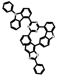 c1ccc(-c2nc(-c3cccc4oc5ccc(-c6cccc7nc(-c8ccccc8)oc67)cc5c34)nc(-c3cccc4c3c3ccccc3n4-c3ccccc3)n2)cc1